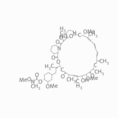 COC1C(=O)C(C)C[C@H](C)/C=C/C=C/C=C(\C)[C@@H](OC)C[C@@H]2CCC(C)C(O)(O2)C(=O)C(=O)N2CCCCC2C(=O)O[C@H](C(C)CC2CC[C@@H](OC(=O)N(C)OC)C(OC)C2)CC(=O)C(C)/C=C(\C)C1O